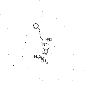 CN(C)Cc1cc2c(o1)CN(CCCCCCc1ccccc1)CCC2.Cl.Cl